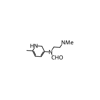 CNCCN(C=O)C1=CC=C(C)NC1